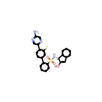 Nc1cnc(-c2ccc(-c3ccccc3S(=O)(=O)N[C@H]3C(O)=Cc4ccccc43)cc2F)cn1